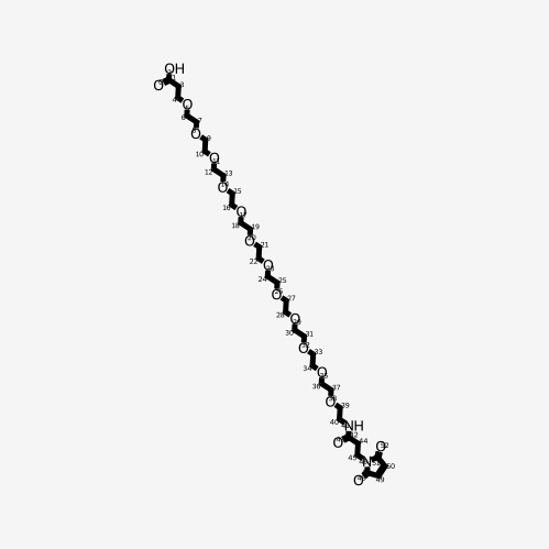 O=C(O)CCOCCOCCOCCOCCOCCOCCOCCOCCOCCOCCOCCOCCNC(=O)CCN1C(=O)C=CC1=O